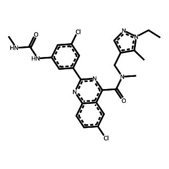 CCn1ncc(CN(C)C(=O)c2nc(-c3cc(Cl)cc(NC(=O)NC)c3)nc3ccc(Cl)cc23)c1C